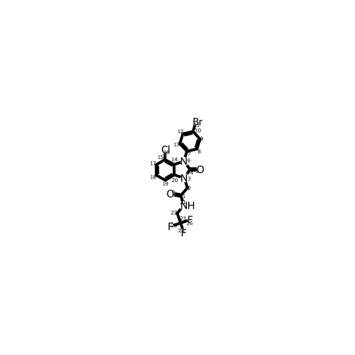 O=C(Cn1c(=O)n(-c2ccc(Br)cc2)c2c(Cl)cccc21)NCC(F)(F)F